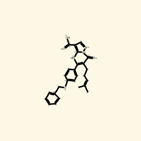 CC(C)=CCCc1c(-c2ccc(OCc3ccccc3)cc2)[nH]c2c(C(=O)O)cnn2c1=O